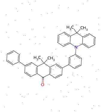 CC1(C)c2cc(-c3ccccc3)ccc2C(=O)c2ccc(-c3cccc(N4c5ccccc5C(C)(C)c5ccccc54)c3)cc21